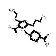 CCCCc1nc(SCC)c(C(=O)O)n1Cc1ccc(C(=O)O)cc1